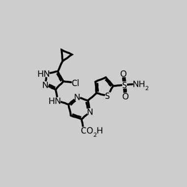 NS(=O)(=O)c1ccc(-c2nc(Nc3n[nH]c(C4CC4)c3Cl)cc(C(=O)O)n2)s1